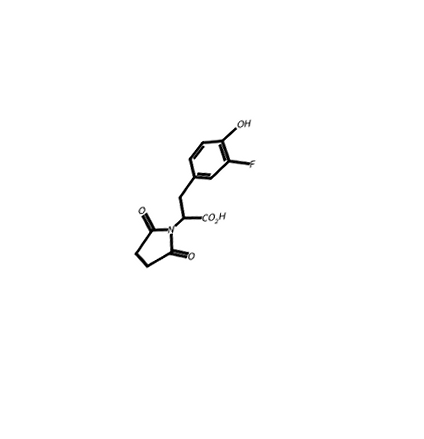 O=C(O)C(Cc1ccc(O)c(F)c1)N1C(=O)CCC1=O